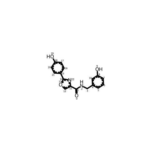 O=C(NCc1cccc(O)c1)c1coc(-c2ccc(O)cc2)n1